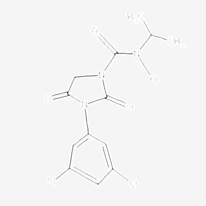 CC(C)N(Cl)C(=O)N1CC(=O)N(c2cc(Cl)cc(Cl)c2)C1=O